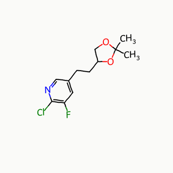 CC1(C)OCC(CCc2cnc(Cl)c(F)c2)O1